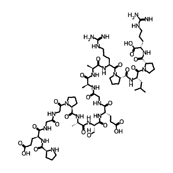 CC(C)C[C@H](NC(=O)[C@@H]1CCCN1C(=O)[C@H](CCCNC(=N)N)NC(=O)[C@H](C)NC(=O)[C@H](C)NC(=O)CNC(=O)[C@H](CCC(=O)O)NC(=O)[C@H](CO)NC(=O)[C@H](C)NC(=O)[C@@H]1CCCN1C(=O)CNC(=O)CNC(=O)[C@H](CCC(=O)O)NC(=O)[C@@H]1CCCN1)C(=O)N1CCC[C@H]1C(=O)N[C@@H](CCCNC(=N)N)C(=O)O